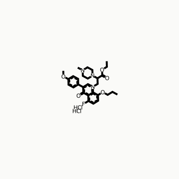 CCCOc1ccc(F)c2c(=O)c(-c3ccc(OC)cc3)cn(CC(C(=O)OCC)N3CCN(C)CC3)c12.Cl.Cl